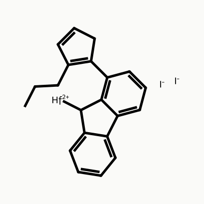 CCCC1=C(c2cccc3c2[CH]([Hf+2])c2ccccc2-3)CC=C1.[I-].[I-]